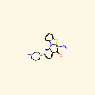 CN1CCCN(c2ccc3c(=O)c(N)c4sc5ccccc5n4c3n2)CC1